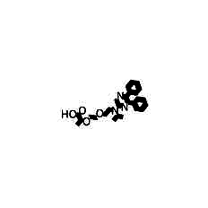 CC(OCCOCCN(c1cnc(-c2ccccc2)c(-c2ccccc2)n1)C(C)C)C(=O)O